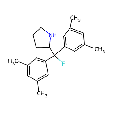 Cc1cc(C)cc(C(F)(c2cc(C)cc(C)c2)C2CCCN2)c1